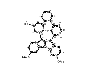 COc1ccc2c(c1)c1c3cc(OC)ccc3n(-c3ncnc(-c4ccccc4)n3)c1n2-c1cccc(C)c1